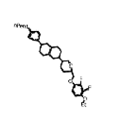 CCCCCc1ccc(C2CCC3CC(C4CCC(COc5ccc(OCC)c(F)c5F)CC4)CCC3C2)cc1